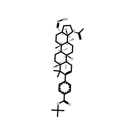 C=C(C)[C@@H]1CC[C@]2(/C=N\O)CC[C@]3(C)[C@H](CC[C@@H]4[C@@]5(C)CC=C(c6ccc(C(=O)OC(C)(C)C)cc6)C(C)(C)[C@@H]5CC[C@]43C)[C@@H]12